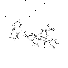 CC(NC(=O)OCC1c2ccccc2-c2ccccc21)C(=O)Nc1ccc([N+](=O)[O-])cc1C(=O)c1ccccc1